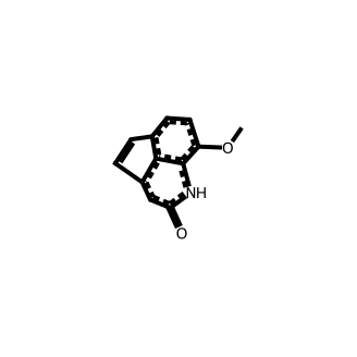 COc1ccc2c3c(cc(=O)[nH]c13)C=C2